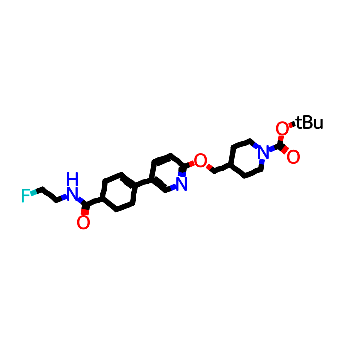 CC(C)(C)OC(=O)N1CCC(COc2ccc(C3=CCC(C(=O)NCCF)CC3)cn2)CC1